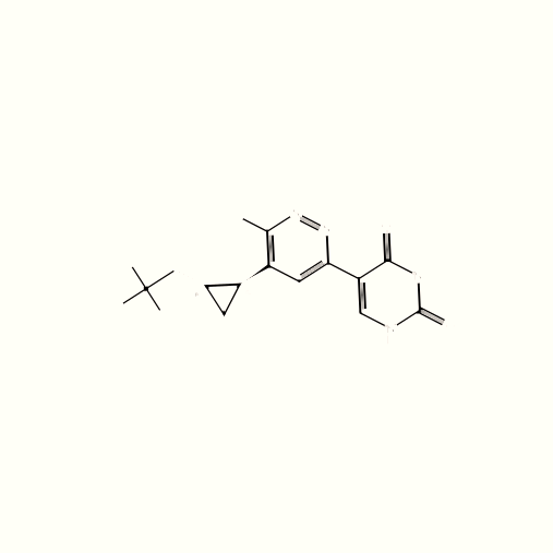 Cc1nnc(-c2c[nH]c(=O)[nH]c2=O)cc1[C@H]1C[C@@H]1CC(C)(F)F